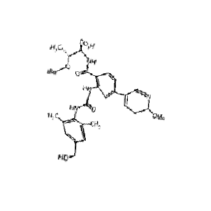 COC1CC=C(c2ccc(C(=O)N[C@H](C(=O)O)[C@@H](C)OC(C)(C)C)c(NC(=O)Nc3c(C)cc(CO)cc3C)c2)C=N1